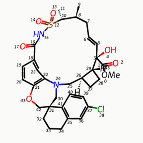 COC(=O)[C@@]1(O)/C=C/C[C@H](C)[C@@H](C)S(=O)(=O)NC(=O)c2ccc3c(c2)N(C[C@@H]2CC[C@H]21)C[C@@]1(CCCc2cc(Cl)ccc21)CO3